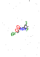 Cc1c(F)cc([C@@H](C)NC(=O)c2ccc(Br)o2)cc1F